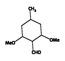 COC1CC(C)CC(OC)C1C=O